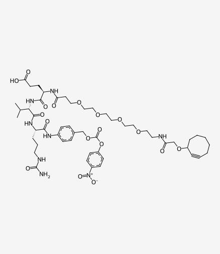 CC(C)[C@H](NC(=O)[C@@H](CCC(=O)O)NC(=O)CCOCCOCCOCCOCCNC(=O)COC1C#CCCCCC1)C(=O)N[C@@H](CCCNC(N)=O)C(=O)Nc1ccc(COC(=O)Oc2ccc([N+](=O)[O-])cc2)cc1